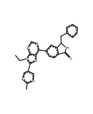 CCn1c(-c2cnc(C)nc2)nc2c(-c3ccc4c(c3)C(Cc3ccccc3)NC4=O)ncnc21